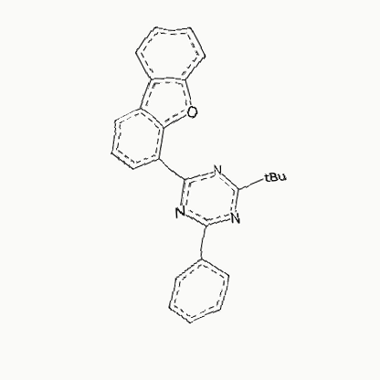 CC(C)(C)c1nc(-c2ccccc2)nc(-c2cccc3c2oc2ccccc23)n1